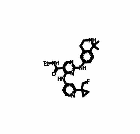 CCNC(=O)c1cnc(Nc2ccc3c(c2)CCNC3(C)C)nc1Nc1ccnc(C2(CF)CC2)c1